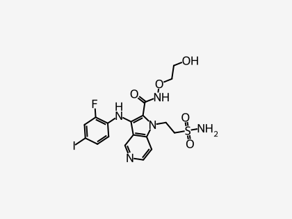 NS(=O)(=O)CCn1c(C(=O)NOCCO)c(Nc2ccc(I)cc2F)c2cnccc21